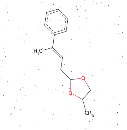 CC(=CCC1OCC(C)O1)c1ccccc1